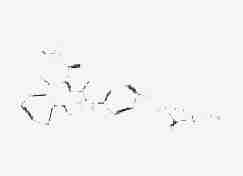 CNC(=O)NCCc1ccc(Nc2ccc3c4c(cc(=O)n3C)-c3ccccc3C(=O)c24)cc1